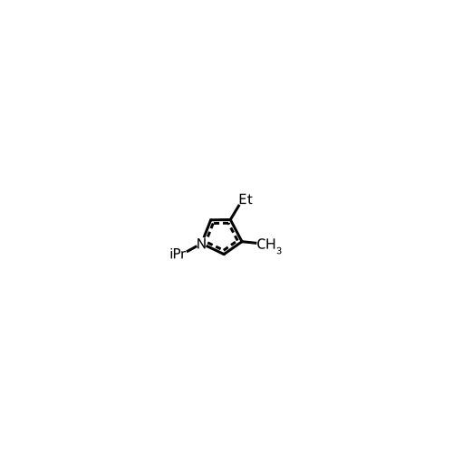 CCc1cn(C(C)C)cc1C